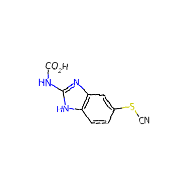 N#CSc1ccc2[nH]c(NC(=O)O)nc2c1